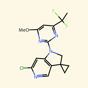 COc1cc(C(C)(F)F)nc(N2CC3(CC3)c3cnc(Cl)cc32)n1